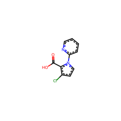 O=C(O)c1c(Cl)ccn1-c1ccccn1